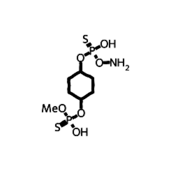 COP(O)(=S)OC1CCC(OP(O)(=S)ON)CC1